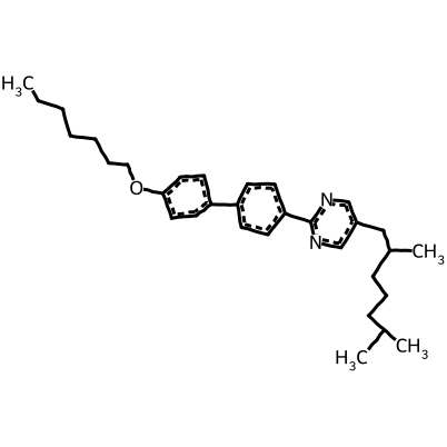 CCCCCCCOc1ccc(-c2ccc(-c3ncc(CC(C)CCCC(C)C)cn3)cc2)cc1